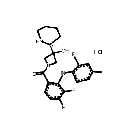 Cl.O=C(c1ccc(F)c(F)c1Nc1ccc(I)cc1F)N1CC(O)([C@@H]2CCCCN2)C1